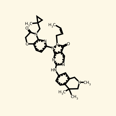 C/C=C\Cn1c(=O)c2cnc(Nc3ccc4c(c3)CN(C)CC4(C)C)nc2n1-c1ccc2c(n1)N(CC1(C)CC1)C(=O)CO2